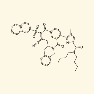 CCCCN(CCCC)C(=O)c1cn(C)c(-c2ccc(C(=O)NS(=O)(=O)c3ccc4ccccc4c3)cc2C(=O)N2Cc3ccccc3CC2CN=[N+]=[N-])n1